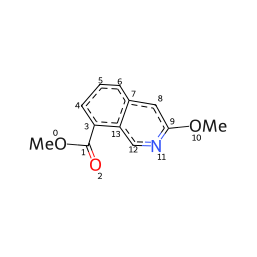 COC(=O)c1cccc2cc(OC)ncc12